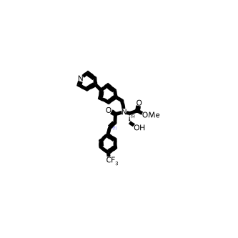 COC(=O)[C@H](CO)N(Cc1ccc(-c2ccncc2)cc1)C(=O)/C=C/c1ccc(C(F)(F)F)cc1